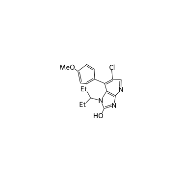 CCC(CC)n1c(O)nc2ncc(Cl)c(-c3ccc(OC)cc3)c21